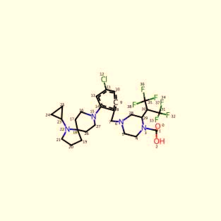 O=C(O)N1CCN(Cc2ccc(Cl)cc2N2CCC3(CCCN3C3CC3)CC2)CC1C(C(F)(F)F)C(F)(F)F